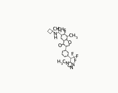 Cc1c(F)c(C(C)NC2(C)CCC2)cc2c(=O)c(-c3cccc(C(c4nncn4C)C(F)(F)F)c3)coc12